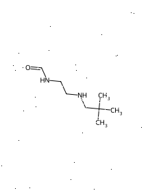 CC(C)(C)CNCCNC=O